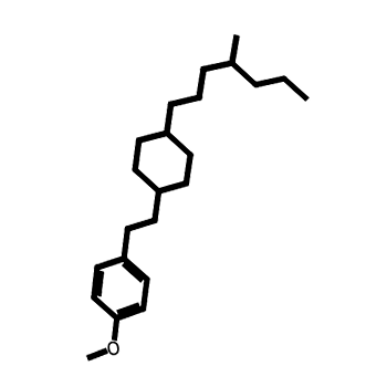 CCCC(C)CCCC1CCC(CCc2ccc(OC)cc2)CC1